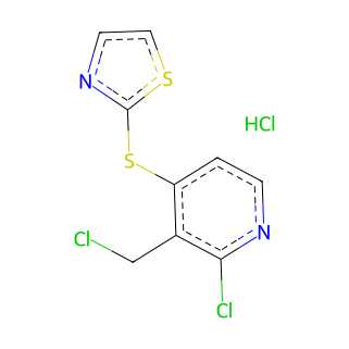 Cl.ClCc1c(Sc2nccs2)ccnc1Cl